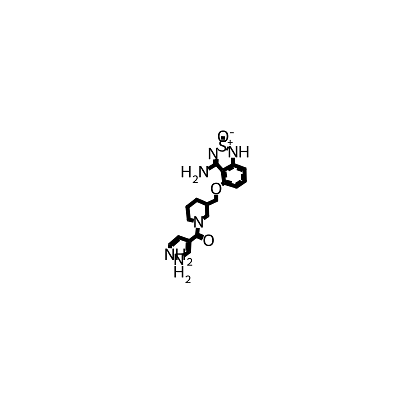 N/C=C\C(=C/N)C(=O)N1CCCC(COc2cccc3c2C(N)=N[S+]([O-])N3)C1